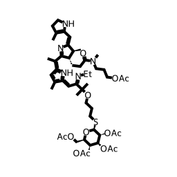 CC/N=C(/C=c1\[nH]/c(=C(/C)C2=N/C(=C\C3=C(C)CCN3)[C@@H](C)[C@@H]2CCC(=O)N(C)CCCOC(C)=O)cc1C)C(C)(C)OCCCS[C@@H]1O[C@H](COC(C)=O)[C@@H](OC(C)=O)[C@H](OC(C)=O)[C@H]1OC(C)=O